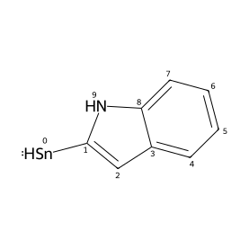 [SnH][c]1cc2ccccc2[nH]1